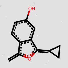 C=c1oc(=C2CC2)c2cc(O)ccc12